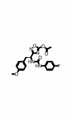 COc1ccc(C[C@H](NC(=O)Nc2ccc(F)cc2)c2noc(OC(C)=O)n2)cc1